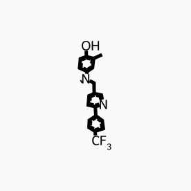 Cc1cc(N(C)Cc2ccc(-c3ccc(C(F)(F)F)cc3)nc2)ccc1O